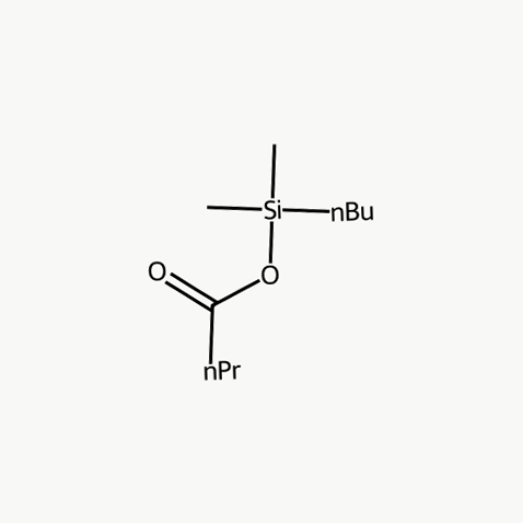 CCCC[Si](C)(C)OC(=O)CCC